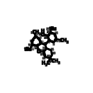 Cc1cc(C(c2cc(C)cc(C(C)(C)C)c2O)C2C=CC(C)(C)CC2)c(O)c(C(C)(C)C)c1